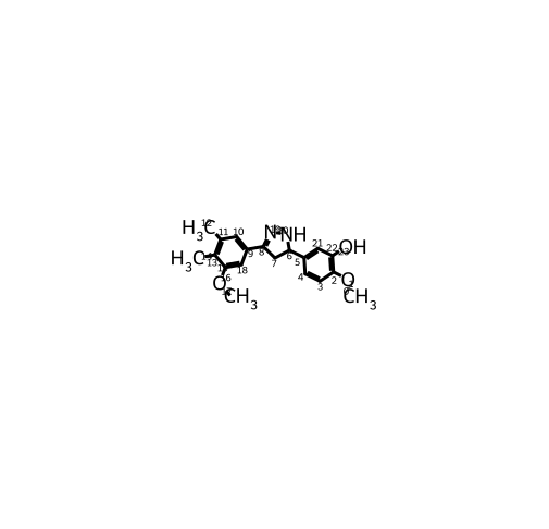 COc1ccc(C2CC(c3cc(C)c(C)c(OC)c3)=NN2)cc1O